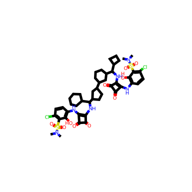 CN(C)S(=O)(=O)c1c(Cl)ccc(Nc2c(NC(C3CCC3)C3CCCC(C4CCC(C(Nc5c(Nc6ccc(Cl)c(S(=O)(=O)N(C)C)c6O)c(=O)c5=O)C5CCCCC5)C4)C3)c(=O)c2=O)c1O